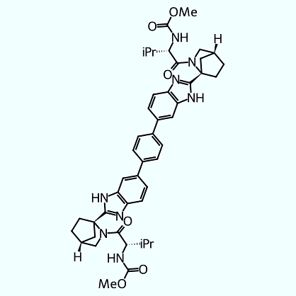 COC(=O)N[C@H](C(=O)N1C[C@@H]2CC[C@@]1(c1nc3ccc(-c4ccc(-c5ccc6nc([C@@]78CC[C@@H](CN7C(=O)[C@@H](NC(=O)OC)C(C)C)C8)[nH]c6c5)cc4)cc3[nH]1)C2)C(C)C